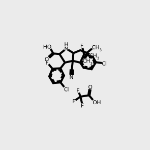 CC(C)(C)CC1NC(C(=O)O)C(c2cc(Cl)ccc2F)C1(C#N)c1ccc(Cl)cc1F.O=C(O)C(F)(F)F